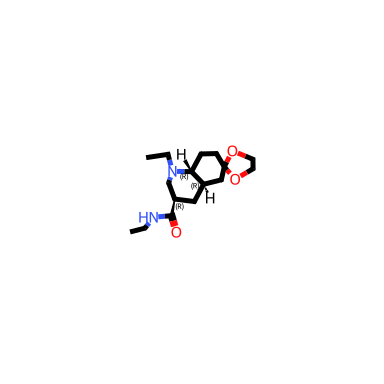 CCNC(=O)[C@@H]1C[C@@H]2CC3(CC[C@H]2N(CC)C1)OCCO3